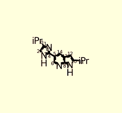 CC(C)c1c[nH]c(-c2cnc3[nH]c(C(C)C)cc3c2)n1